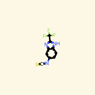 FC(F)(F)c1nc2cc(N=C=S)ccc2[nH]1